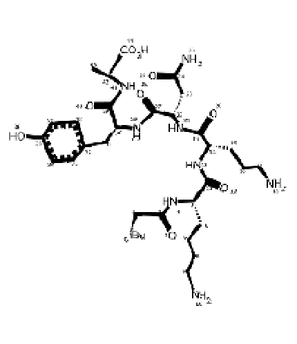 CC[C@H](C)CC(=O)N[C@@H](CCCCN)C(=O)N[C@@H](CCCN)C(=O)N[C@@H](CC(N)=O)C(=O)N[C@@H](Cc1ccc(O)cc1)C(=O)N[C@@H](C)C(=O)O